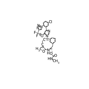 CNC(=O)OC[C@H]1Cc2cccc(c2)[C@@H](n2cnc(-c3cc(Cl)ccc3-n3cc(C(F)(F)F)nn3)cc2=O)CCC[C@@H](C)C(=O)N1